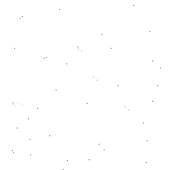 COC(=O)c1ccc(N)c(NCCNC2CC2)c1